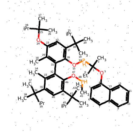 CCC(C)(Oc1cccc2ccccc12)POc1c(C(C)(C)C(C)C)cc(OC(C)(C)C(C)C)c(C)c1-c1c(C)c(C(C)(C)C(C)C)cc(C(C)(C)C(C)C)c1OPC